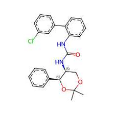 CC1(C)OC[C@H](NC(=O)Nc2ccccc2-c2cccc(Cl)c2)[C@H](c2ccccc2)O1